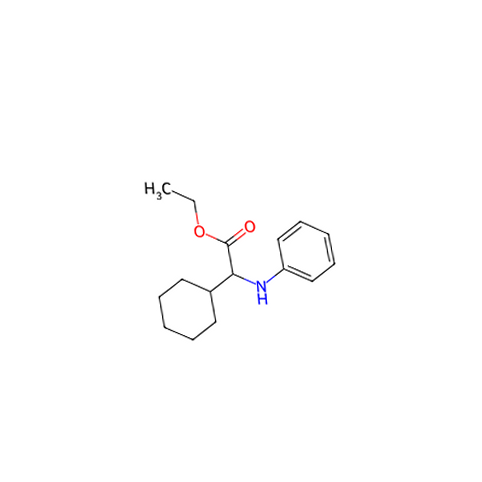 CCOC(=O)C(Nc1ccccc1)C1CCCCC1